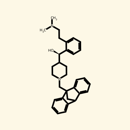 CN(C)CCc1ccccc1[C@H](O)C1CCN(CC23CC(c4ccccc42)c2ccccc23)CC1